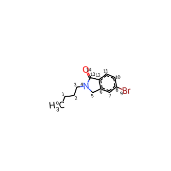 CCCCN1Cc2cc(Br)ccc2C1=O